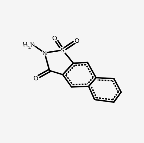 NN1C(=O)c2cc3ccccc3cc2S1(=O)=O